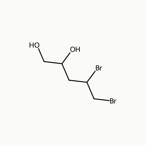 OCC(O)CC(Br)CBr